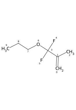 C=C(C)C(F)(F)OCCC